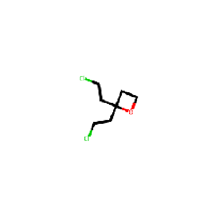 ClCCC1(CCCl)CCO1